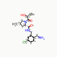 C[C@H]1C[C@@H](C(=O)NCc2cc(Cl)ccc2CN)N(C(=O)[C@@H](O)C(C)(C)C)C1